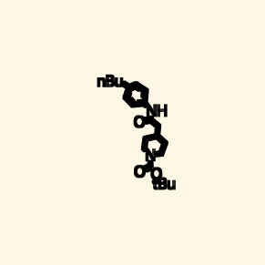 CCCCc1ccc(NC(=O)CC2CCN(C(=O)OC(C)(C)C)CC2)cc1